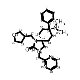 CN(C)[C@]1(c2ccccc2)CC[C@]2(CC1)CN(Cc1ncccn1)C(=O)N2CC1CCOC1